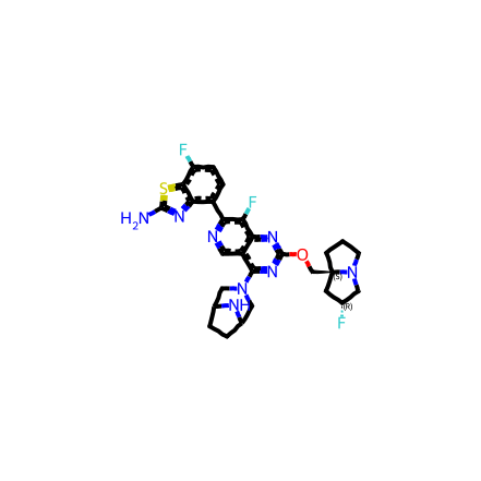 Nc1nc2c(-c3ncc4c(N5CC6CCC(C5)N6)nc(OC[C@@]56CCCN5C[C@H](F)C6)nc4c3F)ccc(F)c2s1